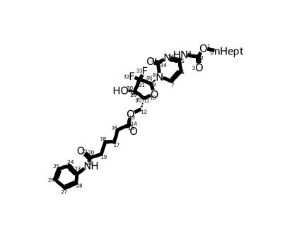 CCCCCCCOC(=O)Nc1ccn([C@@H]2O[C@H](COC(=O)CCCCC(=O)Nc3ccccc3)[C@@H](O)C2(F)F)c(=O)n1